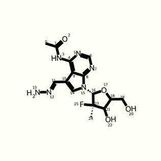 CC(=O)Nc1ncnc2c1c(/C=N/N)cn2[C@@H]1OC(CO)C(O)[C@@]1(C)F